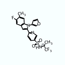 Cc1cc2c(cc1F)cc(-c1ccc(S(=O)(=O)N[C@@H](C)C(F)(F)F)cn1)n2-c1ccoc1